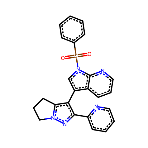 O=S(=O)(c1ccccc1)n1cc(-c2c(-c3ccccn3)nn3c2CCC3)c2cccnc21